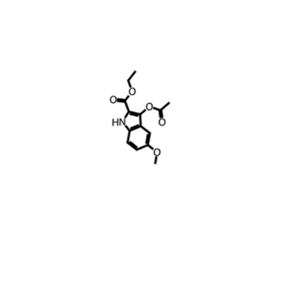 CCOC(=O)c1[nH]c2ccc(OC)cc2c1OC(C)=O